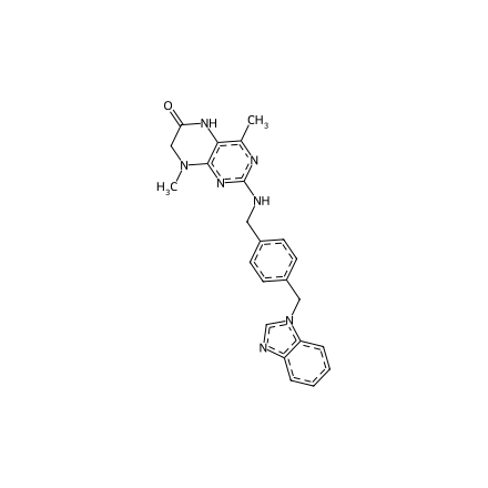 Cc1nc(NCc2ccc(Cn3cnc4ccccc43)cc2)nc2c1NC(=O)CN2C